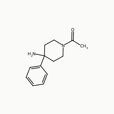 CC(=O)N1CCC(N)(c2ccccc2)CC1